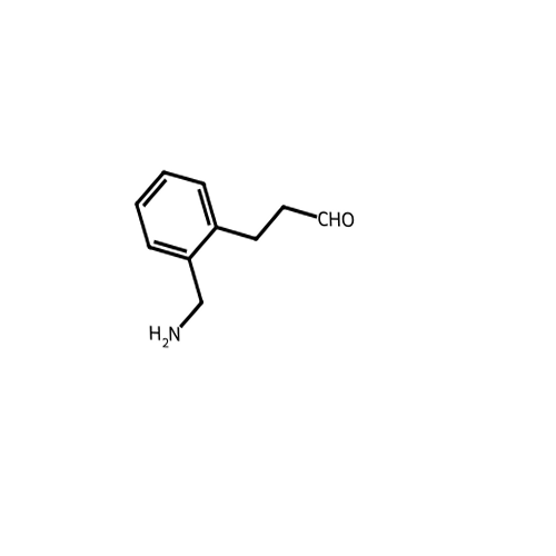 NCc1ccccc1CCC=O